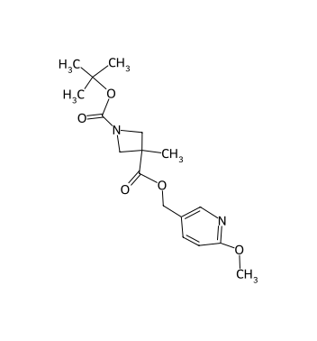 COc1ccc(COC(=O)C2(C)CN(C(=O)OC(C)(C)C)C2)cn1